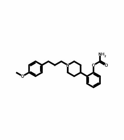 COc1ccc(C[CH]CN2CCC(c3ccccc3OC(N)=O)CC2)cc1